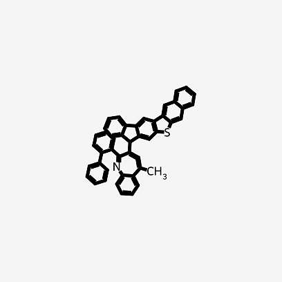 CC1=C=C(C2c3ccccc3-c3cc4c(cc32)sc2cc3ccccc3cc24)C(c2ccccc2-c2ccccc2)=Nc2ccccc21